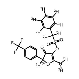 [2H]c1c([2H])c([2H])c(C([2H])([2H])S(=O)(=O)OC2=C(N([2H])[2H])O[C@]([2H])(c3ccc(C(F)(F)F)cc3)C2=O)c([2H])c1[2H]